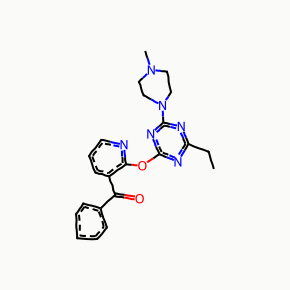 CCc1nc(Oc2ncccc2C(=O)c2ccccc2)nc(N2CCN(C)CC2)n1